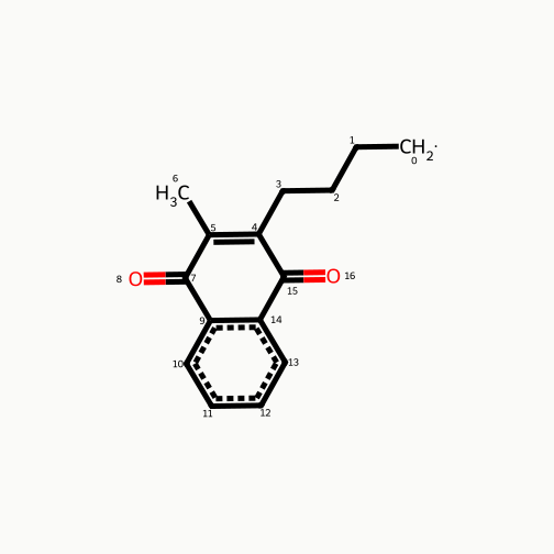 [CH2]CCCC1=C(C)C(=O)c2ccccc2C1=O